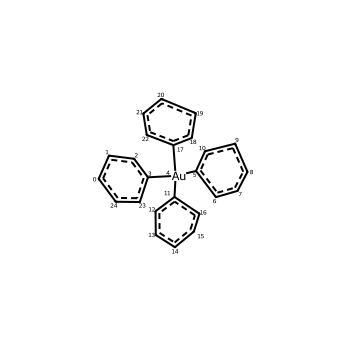 c1cc[c]([Au]([c]2ccccc2)([c]2ccccc2)[c]2ccccc2)cc1